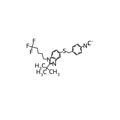 [C-]#[N+]c1ccc(CSc2ccc3c(c2)nc(C(C)(C)C)n3CCCCC(F)(F)F)cc1